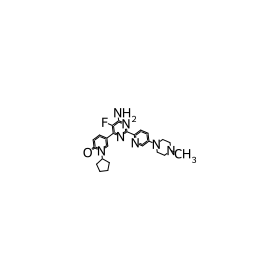 CN1CCN(c2ccc(-c3nc(N)c(F)c(-c4ccc(=O)n(C5CCCC5)c4)n3)nc2)CC1